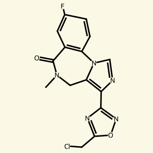 CN1Cc2c(-c3noc(CCl)n3)ncn2-c2ccc(F)cc2C1=O